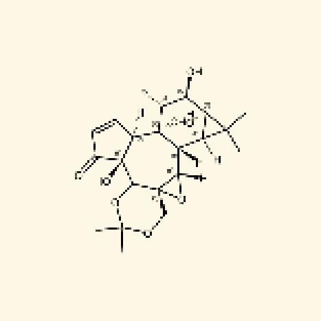 C[C@@H]1[C@@H](O)[C@]2(O)[C@H]([C@@H]3[C@@H]4O[C@@]45COC(C)(C)OC5[C@]4(O)C(=O)C=C[C@H]4[C@]31O)C2(C)C